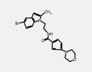 Cc1cc2cc(Br)ccc2n1CCNC(=O)c1ccc(N2CCOCC2)cc1